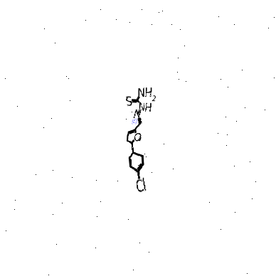 NC(=S)N/N=C/C1=CCC(C2C=CC(Cl)=CC2)O1